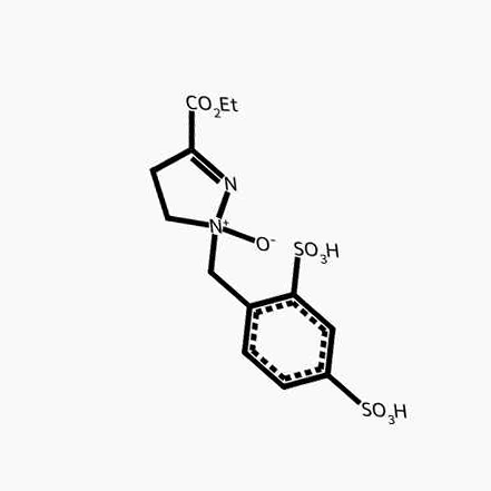 CCOC(=O)C1=N[N+]([O-])(Cc2ccc(S(=O)(=O)O)cc2S(=O)(=O)O)CC1